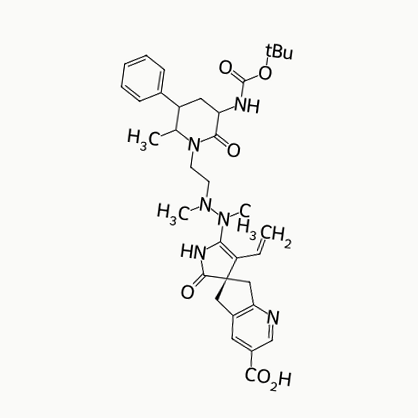 C=CC1=C(N(C)N(C)CCN2C(=O)C(NC(=O)OC(C)(C)C)CC(c3ccccc3)C2C)NC(=O)[C@]12Cc1cc(C(=O)O)cnc1C2